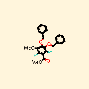 COC(=O)c1c(F)c(OC)c(OCc2ccccc2)c(OCc2ccccc2)c1F